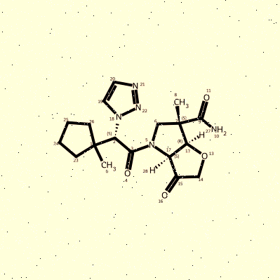 CC1([C@@H](C(=O)N2C[C@](C)(C(N)=O)[C@H]3OCC(=O)[C@H]32)n2ccnn2)CCCC1